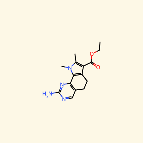 CCOC(=O)c1c2c(n(C)c1C)-c1nc(N)ncc1CC2